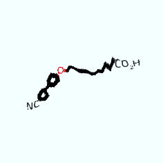 N#Cc1ccc(-c2ccc(OCCCCCCCCCCC(=O)O)cc2)cc1